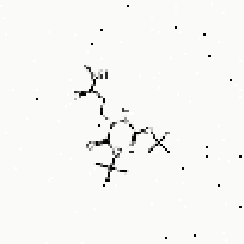 CNC(=O)CC[C@H](NC(=O)OC(C)(C)C)C(=O)OC(C)(C)C